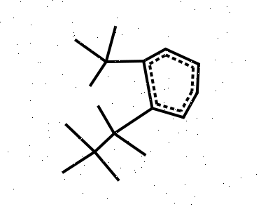 CC(C)(C)c1ccccc1C(C)(C)C(C)(C)C